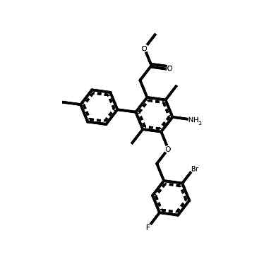 COC(=O)Cc1c(C)c(N)c(OCc2cc(F)ccc2Br)c(C)c1-c1ccc(C)cc1